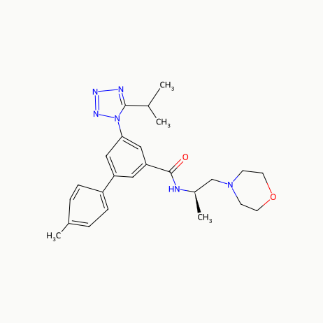 Cc1ccc(-c2cc(C(=O)N[C@H](C)CN3CCOCC3)cc(-n3nnnc3C(C)C)c2)cc1